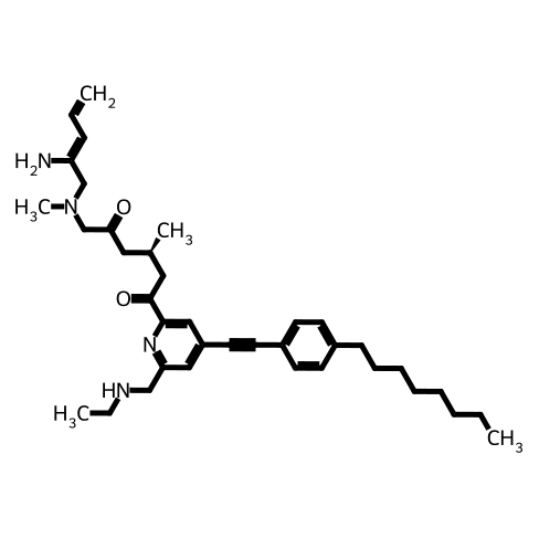 C=C/C=C(\N)CN(C)CC(=O)C[C@@H](C)CC(=O)c1cc(C#Cc2ccc(CCCCCCCC)cc2)cc(CNCC)n1